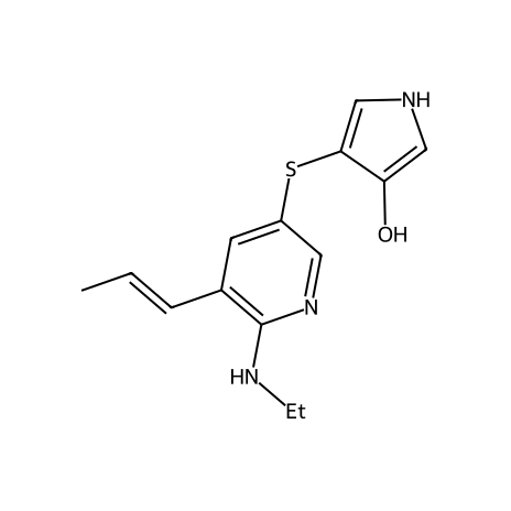 CC=Cc1cc(Sc2c[nH]cc2O)cnc1NCC